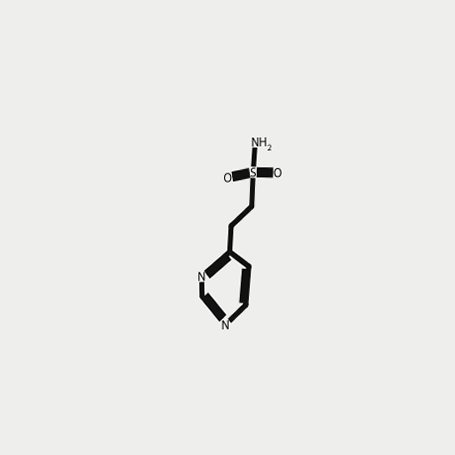 NS(=O)(=O)CCc1ccncn1